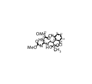 COC(=O)N=C(NCC(c1c(Cl)cccc1Cl)S(C)(=O)=O)NC(=O)OC